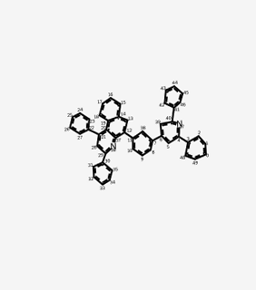 c1ccc(-c2cc(-c3cccc(-c4cc5ccccc5c5c(-c6ccccc6)cc(-c6ccccc6)nc45)c3)cc(-c3ccccc3)n2)cc1